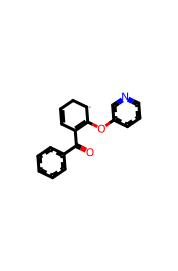 O=C(C1=C(Oc2cccnc2)[CH]CC=C1)c1ccccc1